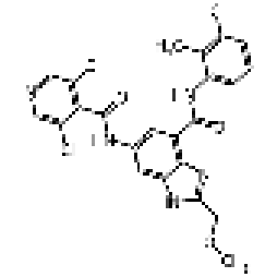 COCc1nc2c(C(=O)Nc3cccc(Cl)c3C)cc(NC(=O)c3c(Cl)cncc3Cl)cc2[nH]1